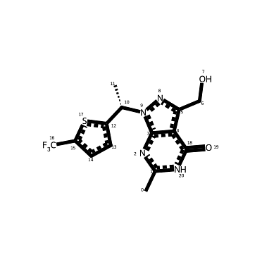 Cc1nc2c(c(CO)nn2[C@@H](C)c2ccc(C(F)(F)F)s2)c(=O)[nH]1